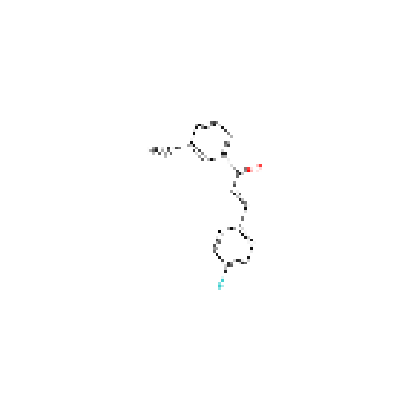 O=C(O)c1cccc(C(=O)/C=C/c2ccc(F)cc2)c1